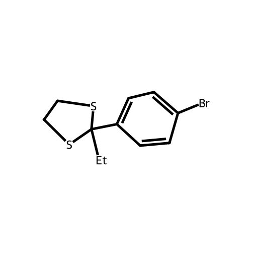 CCC1(c2ccc(Br)cc2)SCCS1